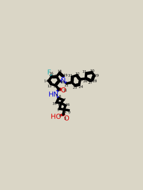 CC1(C(=O)O)CC2(CC(NC(=O)c3ccc(F)c4ccn(Cc5ccc(-c6ccccc6)cc5)c34)C2)C1